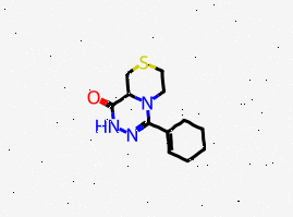 O=C1NN=C(C2=CCCCC2)N2CCSCC12